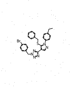 CCc1ccc(-n2ncc(-c3nnn(Cc4ccc(Br)cc4)n3)c2SCc2ccccc2)cc1